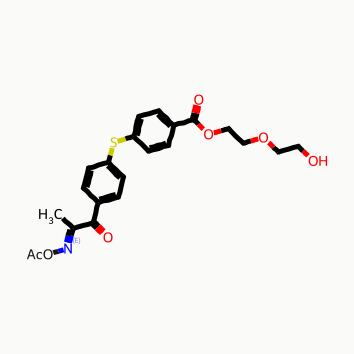 CC(=O)O/N=C(\C)C(=O)c1ccc(Sc2ccc(C(=O)OCCOCCO)cc2)cc1